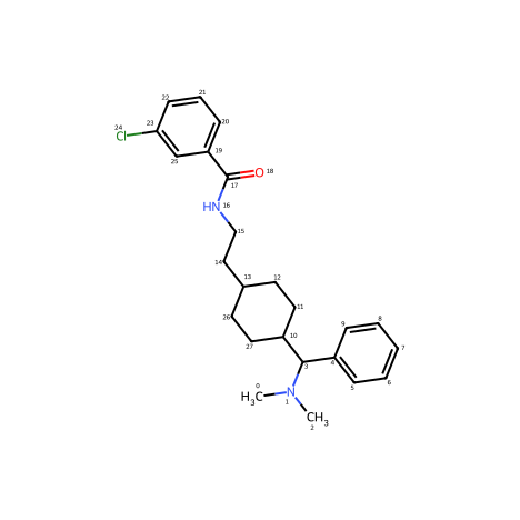 CN(C)C(c1ccccc1)C1CCC(CCNC(=O)c2cccc(Cl)c2)CC1